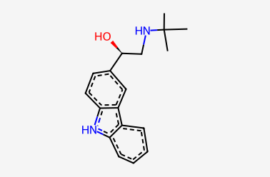 CC(C)(C)NC[C@H](O)c1ccc2[nH]c3ccccc3c2c1